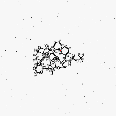 C=C(O[C@H]1C[C@@]2(O)[C@@H](OC(=O)c3ccccc3)[C@@H]3[C@]4(OC(C)=O)CO[C@@H]4C[C@@H]4C[C@@]43C(=O)[C@H](OC(C)=O)C(=C1C)C2(C)C)[C@H](O)[C@@H](NC(=O)OC(C)(C)C)c1ccccc1